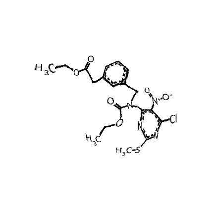 CCOC(=O)Cc1cccc(CN(C(=O)OCC)c2nc(SC)nc(Cl)c2[N+](=O)[O-])c1